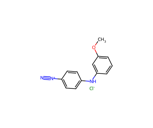 COc1cccc(Nc2ccc([N+]#N)cc2)c1.[Cl-]